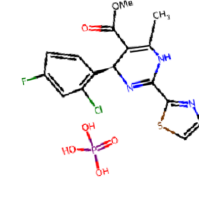 COC(=O)C1=C(C)NC(c2nccs2)=N[C@H]1c1ccc(F)cc1Cl.O=P(O)(O)O